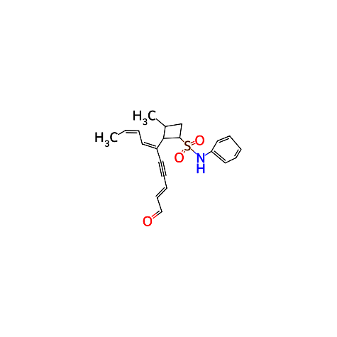 C/C=C\C=C(\C#C/C=C/C=O)C1C(C)CC1S(=O)(=O)Nc1ccccc1